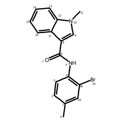 Cc1ccc(NC(=O)c2cn(C)c3ccccc23)c(Br)c1